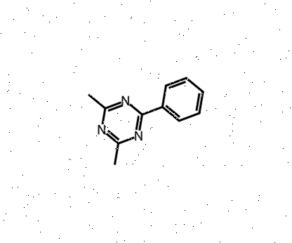 Cc1nc(C)nc(-c2ccccc2)n1